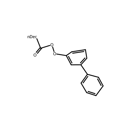 CCCCCCCCCCC(=O)OOc1cccc(-c2ccccc2)c1